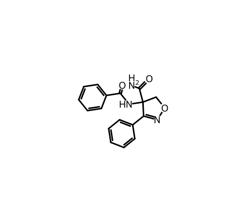 NC(=O)C1(NC(=O)c2ccccc2)CON=C1c1ccccc1